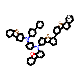 c1ccc(-c2ccc(N(c3cccc(N(c4ccc5sc6c(-c7ccc8sc9c%10ccccc%10ccc9c8c7)cccc6c5c4)c4cccc5c4oc4ccccc45)c3)c3ccc4c(c3)sc3ccccc34)cc2)cc1